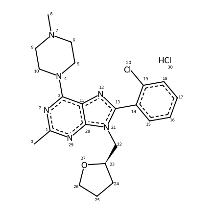 Cc1nc(N2CCN(C)CC2)c2nc(-c3ccccc3Cl)n(C[C@H]3CCCO3)c2n1.Cl